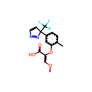 CO/C=C(\Oc1cc(C2(C(F)(F)F)C=CN=N2)ccc1C)C(=O)O